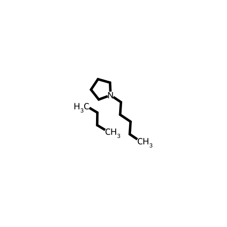 CCCC.CCCCCN1CCCC1